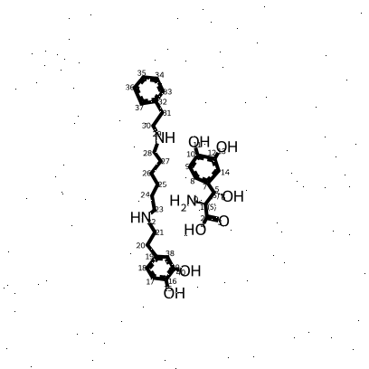 N[C@H](C(=O)O)[C@@H](O)c1ccc(O)c(O)c1.Oc1ccc(CCNCCCCCCNCCc2ccccc2)cc1O